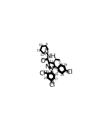 CC[C@@H]1C(C(=O)NN2CCCCC2)=NN(c2ccc(Cl)cc2Cl)[C@H]1c1ccc(Cl)cc1